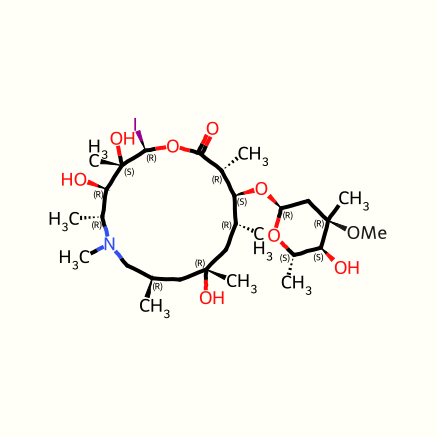 CO[C@]1(C)C[C@H](O[C@H]2[C@H](C)C[C@](C)(O)C[C@@H](C)CN(C)[C@H](C)[C@@H](O)[C@](C)(O)[C@@H](I)OC(=O)[C@@H]2C)O[C@@H](C)[C@@H]1O